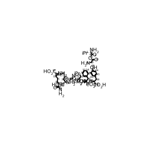 CC(C)C[C@H](N)C(=O)O.CC(C)[C@H](N)C(=O)OC(=O)[C@H](C)N.CC[C@H](C)[C@H](N)C(=O)O.CSCC[C@H](N)C(=O)O.NC(=O)NCCC[C@H](N)C(=O)O.N[C@@H](Cc1ccc(O)cc1)C(=O)O.N[C@@H](Cc1ccccc1)C(=O)O